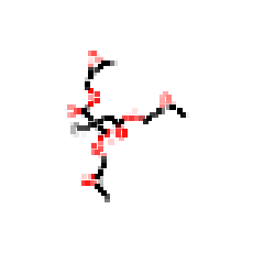 CCC(CC(=O)OCC1OC1C)(C(=O)OCC1OC1C)C(=O)OCC1OC1C